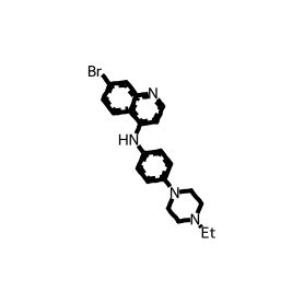 CCN1CCN(c2ccc(Nc3ccnc4cc(Br)ccc34)cc2)CC1